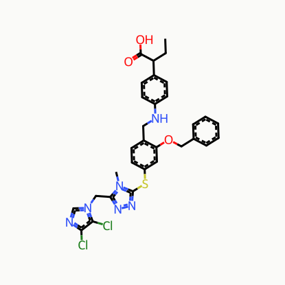 CCC(C(=O)O)c1ccc(NCc2ccc(Sc3nnc(Cn4cnc(Cl)c4Cl)n3C)cc2OCc2ccccc2)cc1